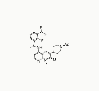 CC(=O)N1CCC(c2cc3c(N[C@H](C)c4cccc(C(F)F)c4F)ccnc3n(C)c2=O)CC1